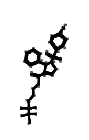 CC(C)(C)[Si](C)(C)OCCSC(=O)C1=CCN(S(=O)(=O)c2ccc(Cl)cc2)C1c1ccccc1